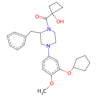 COc1ccc(N2CCN(C(=O)C3(O)CCC3)C(Cc3ccccc3)C2)cc1OC1CCCC1